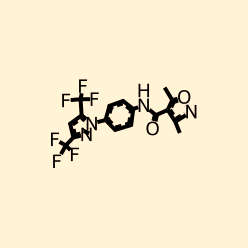 Cc1noc(C)c1C(=O)Nc1ccc(-n2nc(C(F)(F)F)cc2C(F)(F)F)cc1